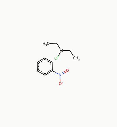 C[CH2][Al]([Cl])[CH2]C.O=[N+]([O-])c1ccccc1